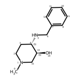 CN1CC[C@H](NCc2ccccc2)[C@@H](O)C1